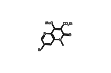 CCOC(=O)c1c(OC)c2ncc(Br)cc2n(C)c1=O